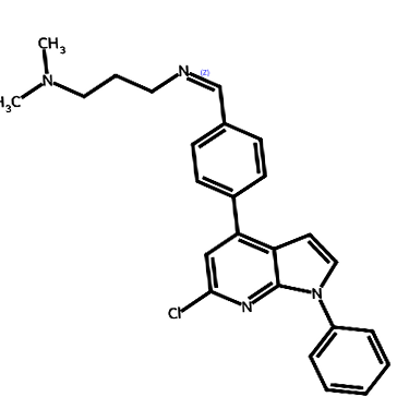 CN(C)CCC/N=C\c1ccc(-c2cc(Cl)nc3c2ccn3-c2ccccc2)cc1